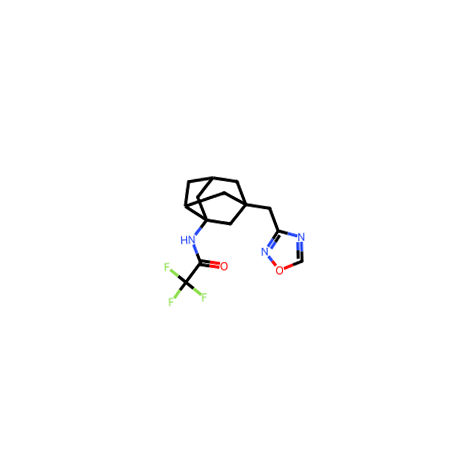 O=C(NC12CC3CC1CC(Cc1ncon1)(C3)C2)C(F)(F)F